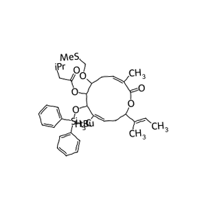 CC=C(C)C1CC=C(C)C(O[Si](c2ccccc2)(c2ccccc2)C(C)(C)C)C(OC(=O)CC(C)C)C(OCSC)CC=C(C)C(=O)O1